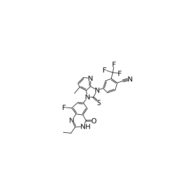 CCc1nc2c(F)cc(-n3c(=S)n(-c4ccc(C#N)c(C(F)(F)F)c4)c4nccc(C)c43)cc2c(=O)[nH]1